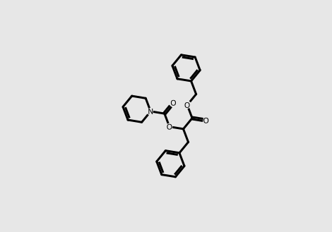 O=C(OCc1ccccc1)C(Cc1ccccc1)OC(=O)N1CC=CCC1